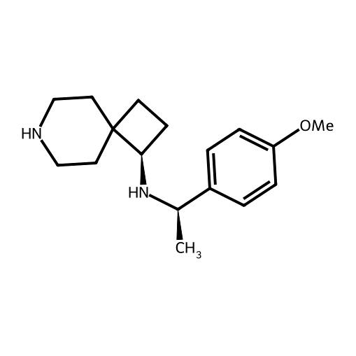 COc1ccc([C@@H](C)N[C@@H]2CCC23CCNCC3)cc1